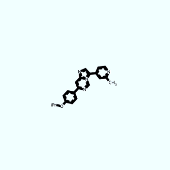 Cc1cc(-c2cnc3cc(-c4ccc(OC(C)C)cc4)ncn23)ccn1